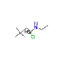 CCN[SiH](Cl)CC(C)(C)C